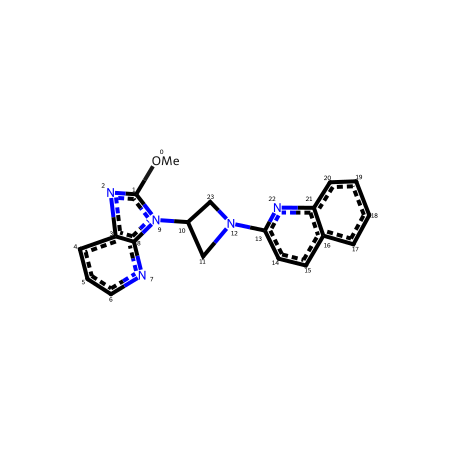 COc1nc2cccnc2n1C1CN(c2ccc3ccccc3n2)C1